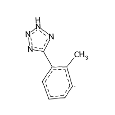 Cc1[c]cccc1-c1nn[nH]n1